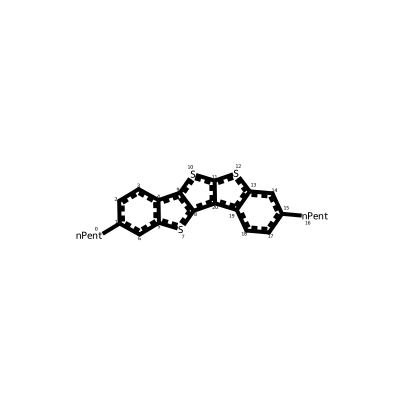 CCCCCc1ccc2c(c1)sc1c2sc2sc3cc(CCCCC)ccc3c21